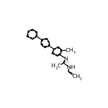 C=CN/C(C)=N/c1ccc(-c2ccc(-c3ccccc3)cc2)cc1C